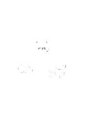 Nc1nc2c(ncn2C2OC(COP(=O)(O)OP(=O)(O)OP(=O)(O)O)C3O[C@@H](C(=O)Nc4ncccn4)OC32)c(=S)[nH]1